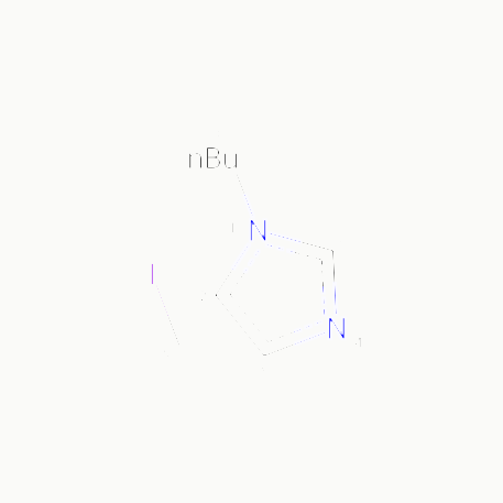 CCCCn1ccnc1.CI